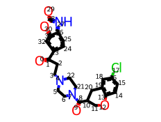 O=C(CCN1CCN(C(=O)C2COc3ccc(Cl)cc3C2)CC1)c1ccc2[nH]c(=O)oc2c1